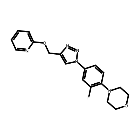 Fc1cc(-n2cc(COc3ccccn3)nn2)ccc1N1CCOCC1